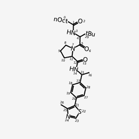 CCCCCCCCC(=O)NC(C(=O)N1CCCC1C(=O)NC(C)c1ccc(-c2scnc2C)cc1)C(C)(C)C